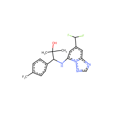 CC(C)(O)C(Nc1cc(C(F)F)cc2ncnn12)c1ccc(C(F)(F)F)cc1